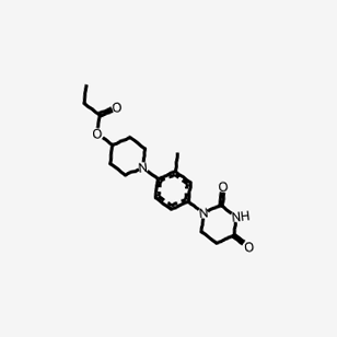 CCC(=O)OC1CCN(c2ccc(N3CCC(=O)NC3=O)cc2C)CC1